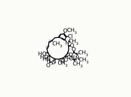 COc1cc2cc(c1Cl)N(C)C(=O)C[C@H](OC(=O)[C@H](C)N(C)C(C)=O)[C@]1(C)O[C@H]1[C@H](C)C1(C)C[C@@](O)(NC(=O)O1)[C@H](O)/C=C/C=C(\C)C2